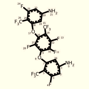 Nc1cc(F)c(C(F)(F)F)c(Oc2c(F)c(F)c(C(F)(F)F)c(Oc3cc(N)cc(F)c3C(F)(F)F)c2F)c1